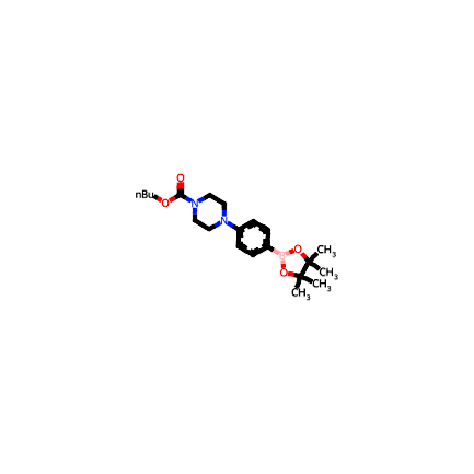 CCCCOC(=O)N1CCN(c2ccc(B3OC(C)(C)C(C)(C)O3)cc2)CC1